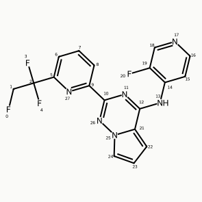 FCC(F)(F)c1cccc(-c2nc(Nc3ccncc3F)c3cccn3n2)n1